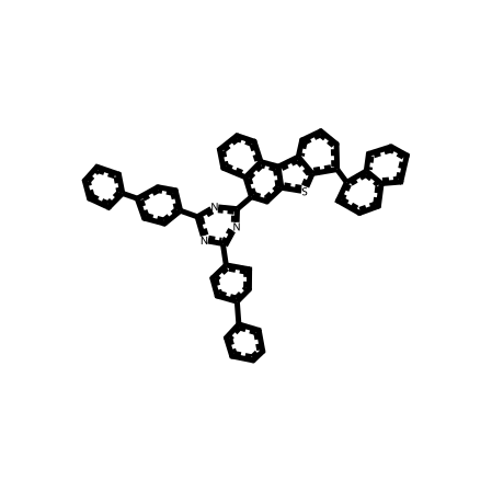 c1ccc(-c2ccc(-c3nc(-c4ccc(-c5ccccc5)cc4)nc(-c4cc5sc6c(-c7cccc8ccccc78)cccc6c5c5ccccc45)n3)cc2)cc1